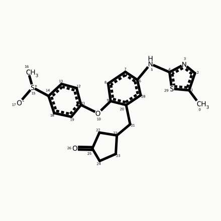 Cc1cnc(Nc2ccc(Oc3ccc([S+](C)[O-])cc3)c(CC3CCC(=O)C3)c2)s1